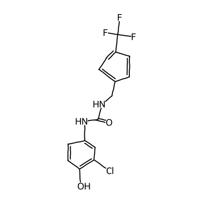 O=C(NCc1ccc(C(F)(F)F)cc1)Nc1ccc(O)c(Cl)c1